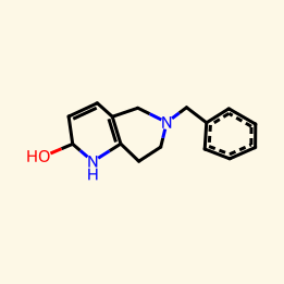 OC1C=CC2=C(CCN(Cc3ccccc3)C2)N1